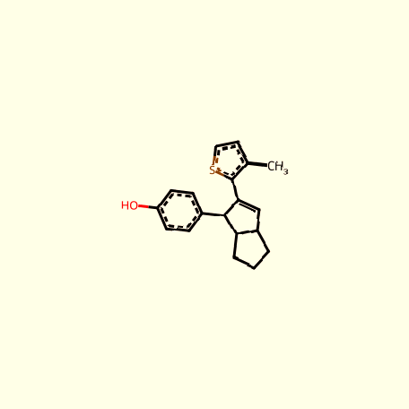 Cc1ccsc1C1=CC2CCCC2C1c1ccc(O)cc1